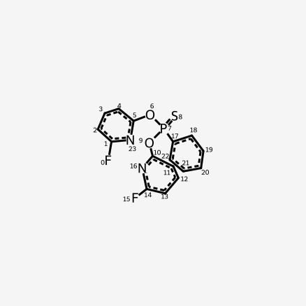 Fc1cccc(OP(=S)(Oc2cccc(F)n2)c2ccccc2)n1